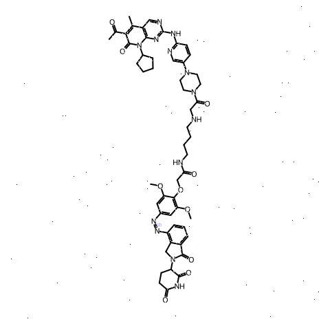 COc1cc(/N=N\c2cccc3c2CN(C2CCC(=O)NC2=O)C3=O)cc(OC)c1OCC(=O)NCCCCNCC(=O)N1CCN(c2ccc(Nc3ncc4c(C)c(C(C)=O)c(=O)n(C5CCCC5)c4n3)nc2)CC1